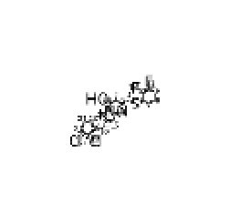 Oc1cc(CSc2cccc(F)c2F)nc2cc(Cc3cccc(Cl)c3Cl)nn12